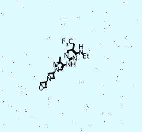 CCNc1nc(Nc2cn(C3CN(C4COC4)C3)nc2C)ncc1CC(F)(F)F